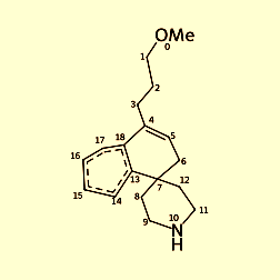 COCCCC1=CCC2(CCNCC2)c2ccccc21